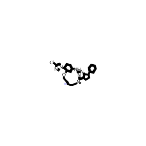 CN1CC/C=C/COc2cc(ccc2-n2cnc(Cl)c2)Nc2nc3c(c1n2)CCC3c1ccccc1